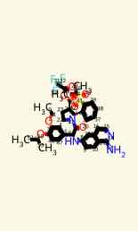 CCOc1cc([C@@H](Nc2ccc3c(N)nccc3c2)C(=O)N2CC[C@@H](C(=O)OC(=O)C(F)(F)F)[C@H]2c2ccccc2S(=O)(=O)C(C)C)ccc1OC(C)C